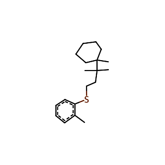 Cc1ccccc1SCCC(C)(C)C1(C)CCCCC1